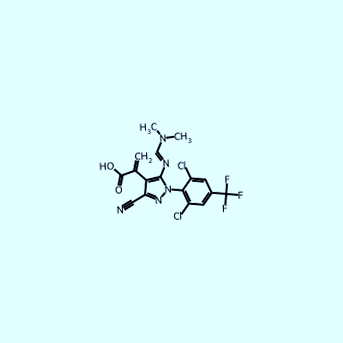 C=C(C(=O)O)c1c(C#N)nn(-c2c(Cl)cc(C(F)(F)F)cc2Cl)c1N=CN(C)C